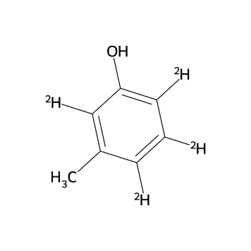 [2H]c1c([2H])c(C)c([2H])c(O)c1[2H]